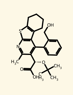 Cc1nc2sc3c(c2c(-c2ccccc2CO)c1[C@H](OC(C)(C)C)C(=O)O)CCCC3